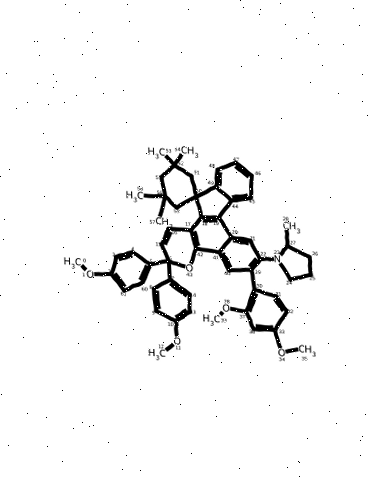 COc1ccc(C2(c3ccc(OC)cc3)C=Cc3c4c(c5cc(N6CCCC6C)c(-c6ccc(OC)cc6OC)cc5c3O2)-c2ccccc2C42CC(C)(C)CC(C)(C)C2)cc1